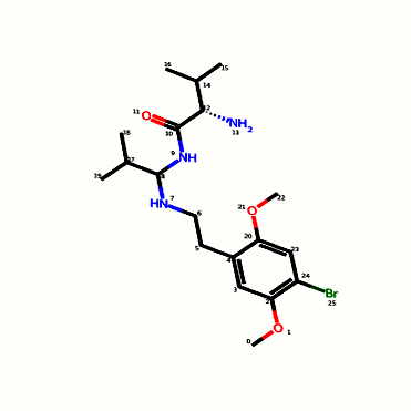 COc1cc(CCNC(NC(=O)[C@@H](N)C(C)C)C(C)C)c(OC)cc1Br